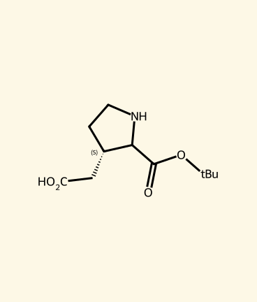 CC(C)(C)OC(=O)C1NCC[C@H]1CC(=O)O